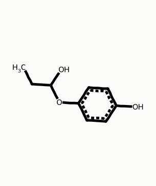 CCC(O)Oc1ccc(O)cc1